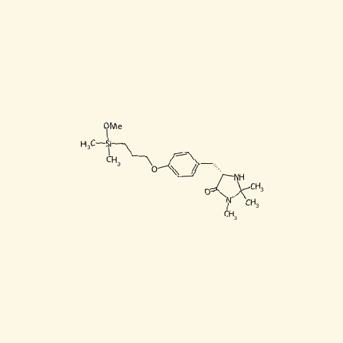 CO[Si](C)(C)CCCOc1ccc(C[C@@H]2NC(C)(C)N(C)C2=O)cc1